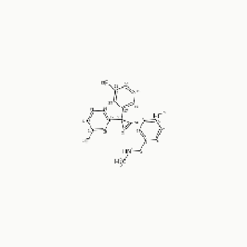 CNCc1ccccc1.Cl.Fc1cccc(C2(c3cccc(F)c3)C=C2)c1